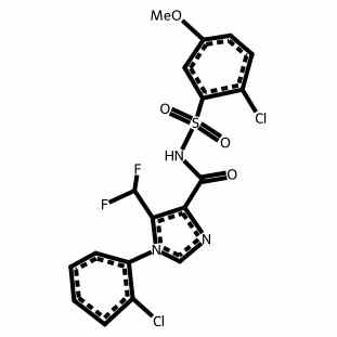 COc1ccc(Cl)c(S(=O)(=O)NC(=O)c2ncn(-c3ccccc3Cl)c2C(F)F)c1